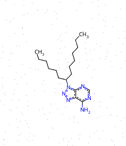 CCCCCCCC(CCCCCC)n1nnc2c(N)ncnc21